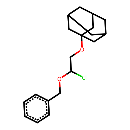 ClC(COC12CC3CC(CC(C3)C1)C2)OCc1ccccc1